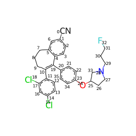 N#Cc1ccc2c(c1)CCCC(c1ccc(Cl)cc1Cl)=C2c1ccc(OC2CCN(CCCF)C2)cc1